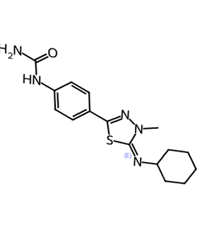 Cn1nc(-c2ccc(NC(N)=O)cc2)s/c1=N/C1CCCCC1